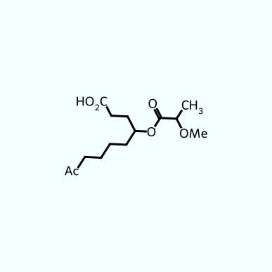 COC(C)C(=O)OC(CCCCC(C)=O)CCC(=O)O